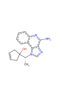 C[C@@H](n1cnc2c(N)nc3ccccc3c21)C1(O)CC=CC1